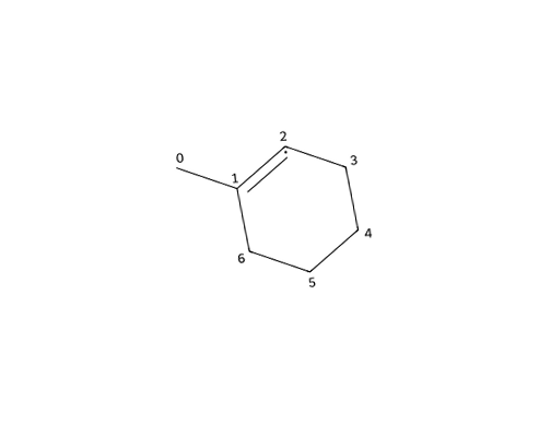 CC1=[C]CCCC1